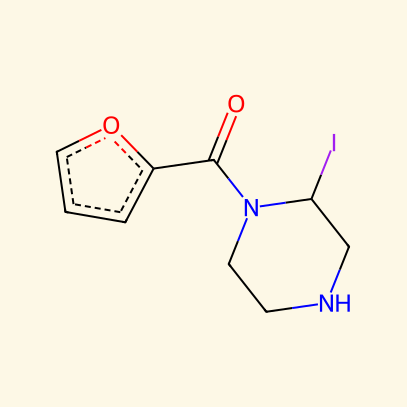 O=C(c1ccco1)N1CCNCC1I